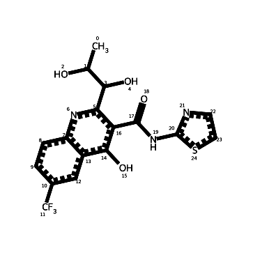 CC(O)C(O)c1nc2ccc(C(F)(F)F)cc2c(O)c1C(=O)Nc1nccs1